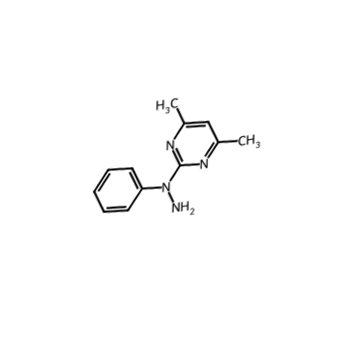 Cc1cc(C)nc(N(N)c2ccccc2)n1